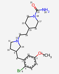 COc1ccc(Br)c(CC2CCN(CCC3CCN(C(N)=O)CC3)C2)c1